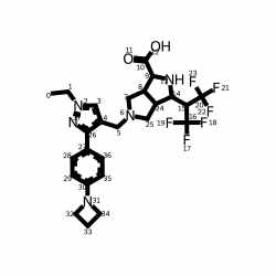 CCn1cc(CN2CC3C(C(=O)O)NC(C(C(F)(F)F)C(F)(F)F)C3C2)c(-c2ccc(N3CCC3)cc2)n1